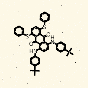 CC(C)(C)c1ccc(Nc2ccc(Nc3ccc(C(C)(C)C)cc3)c3c2C(=O)c2c(Sc4ccccc4)ccc(Sc4ccccc4)c2C3=O)cc1